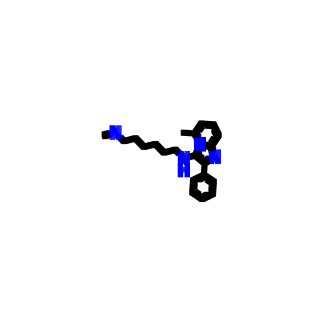 C=NCCCCCCNc1c(-c2ccccc2)nc2cccc(C)n12